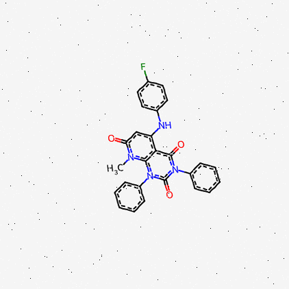 Cn1c(=O)cc(Nc2ccc(F)cc2)c2c(=O)n(-c3ccccc3)c(=O)n(-c3ccccc3)c21